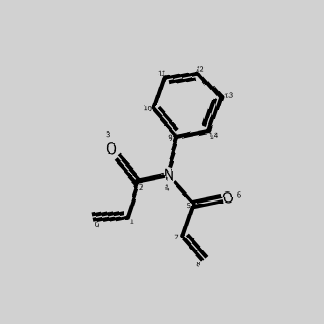 C=CC(=O)N(C(=O)C=C)c1ccccc1